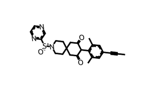 CC#Cc1cc(C)c(C2C(=O)CC3(CCN([S+]([O-])c4cnccn4)CC3)CC2=O)c(C)c1